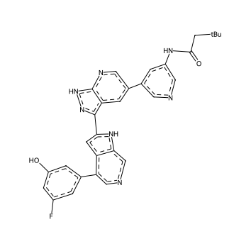 CC(C)(C)CC(=O)Nc1cncc(-c2cnc3[nH]nc(-c4cc5c(-c6cc(O)cc(F)c6)cncc5[nH]4)c3c2)c1